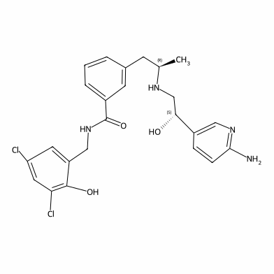 C[C@H](Cc1cccc(C(=O)NCc2cc(Cl)cc(Cl)c2O)c1)NC[C@@H](O)c1ccc(N)nc1